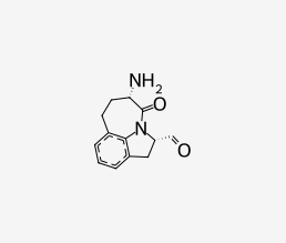 N[C@H]1CCc2cccc3c2N(C1=O)[C@H](C=O)C3